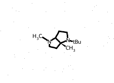 CN1CC[C@]2(C)C1CCN2C(C)(C)C